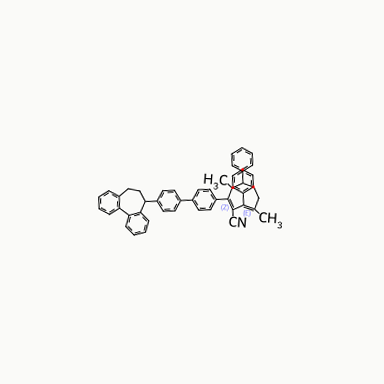 C/C1=C(c2ccccc2)\C(C#N)=C(\c2ccc(-c3ccc(C4CCc5ccccc5-c5ccccc54)cc3)cc2)C(C)C(c2ccccc2)CC1